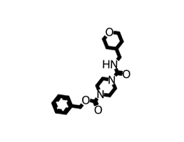 O=C(NCC1CCOCC1)N1CCN(C(=O)OCc2ccccc2)CC1